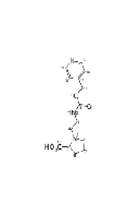 O=C(NCCN1CCC[C@H]1C(=O)O)OCc1ccccc1